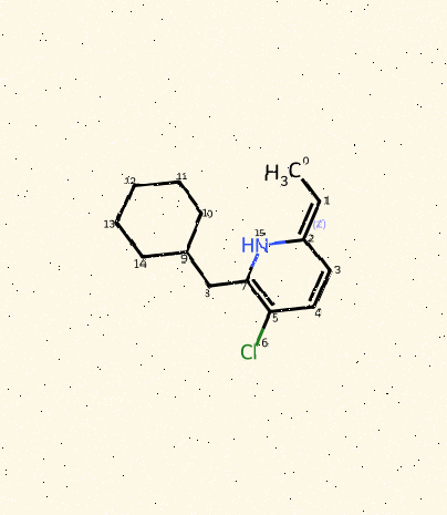 C/C=C1/C=CC(Cl)=C(CC2CCCCC2)N1